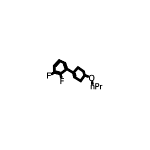 CCCOC1CC=C(c2cccc(F)c2F)CC1